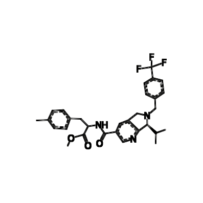 COC(=O)C(Cc1ccc(C)cc1)NC(=O)c1cnc2c(c1)CN(Cc1ccc(C(F)(F)F)cc1)[C@H]2C(C)C